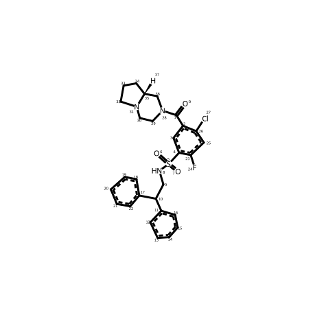 O=C(c1cc(S(=O)(=O)NCC(c2ccccc2)c2ccccc2)c(F)cc1Cl)N1CCN2CCC[C@@H]2C1